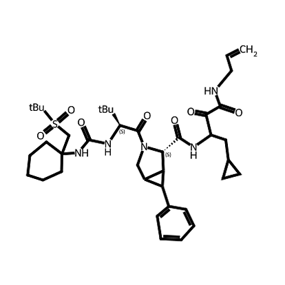 C=CCNC(=O)C(=O)C(CC1CC1)NC(=O)[C@@H]1C2C(CN1C(=O)[C@@H](NC(=O)NC1(CS(=O)(=O)C(C)(C)C)CCCCC1)C(C)(C)C)C2c1ccccc1